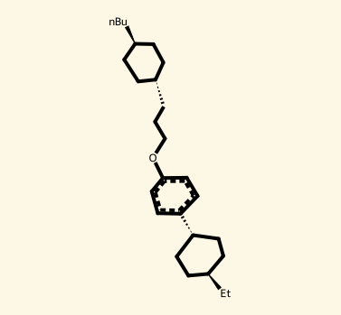 CCCC[C@H]1CC[C@H](CCCOc2ccc([C@H]3CC[C@H](CC)CC3)cc2)CC1